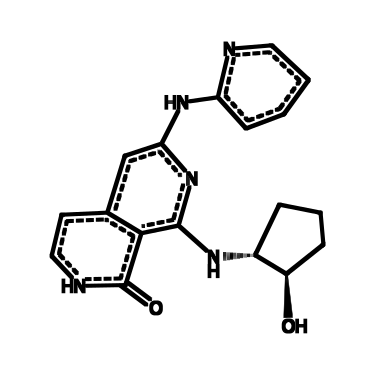 O=c1[nH]ccc2cc(Nc3ccccn3)nc(N[C@@H]3CCC[C@H]3O)c12